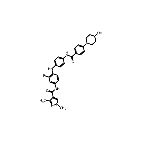 Cc1nn(C)cc1C(=O)Nc1ccc(Nc2ccc(NC(=O)c3ccc(N4CCC(O)CC4)cc3)cc2)c(F)c1